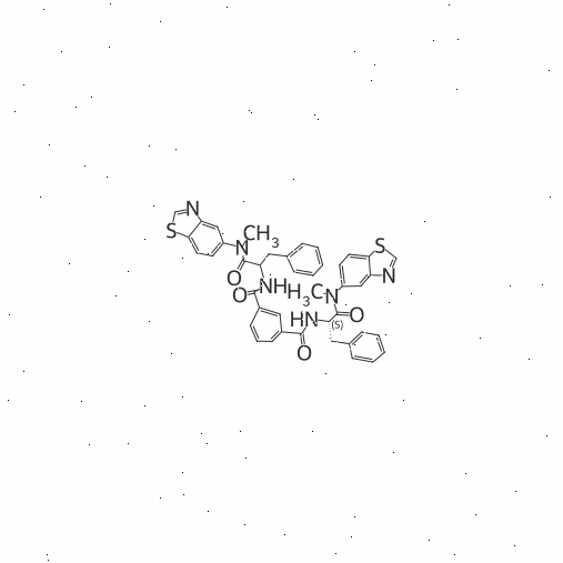 CN(C(=O)C(Cc1ccccc1)NC(=O)c1cccc(C(=O)N[C@@H](Cc2ccccc2)C(=O)N(C)c2ccc3scnc3c2)c1)c1ccc2scnc2c1